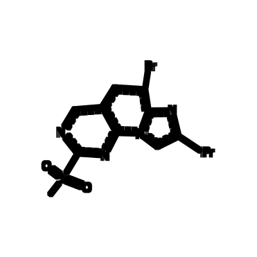 CC(C)c1cn2c(n1)c(Br)cc1cnc(S(C)(=O)=O)nc12